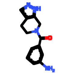 Nc1cccc(C(=O)N2CCc3cn[nH]c3C2)c1